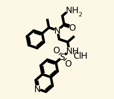 CC(CN(C(=O)CN)C(C)c1ccccc1)NS(=O)(=O)c1ccc2cnccc2c1.Cl